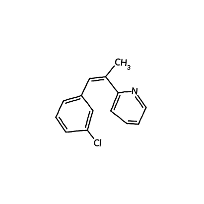 CC(=Cc1cccc(Cl)c1)c1ccccn1